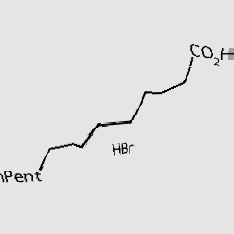 Br.CCCCCCCCCCCC(=O)O